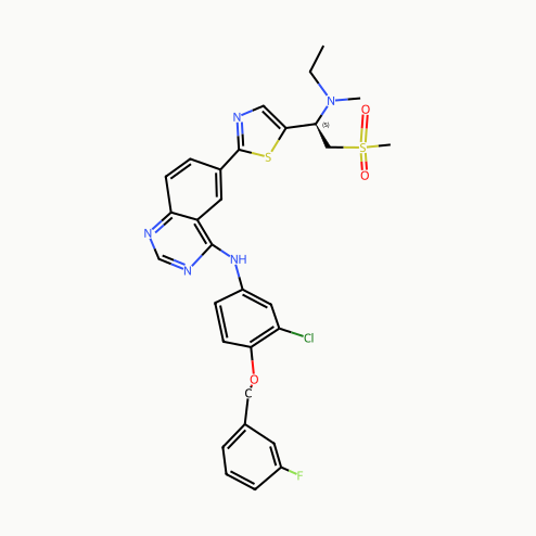 CCN(C)[C@@H](CS(C)(=O)=O)c1cnc(-c2ccc3ncnc(Nc4ccc(OCc5cccc(F)c5)c(Cl)c4)c3c2)s1